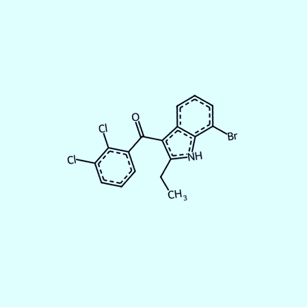 CCc1[nH]c2c(Br)cccc2c1C(=O)c1cccc(Cl)c1Cl